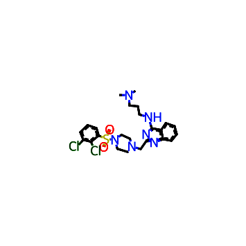 CN(C)CCCNc1nc(CN2CCN(S(=O)(=O)c3cccc(Cl)c3Cl)CC2)nc2ccccc12